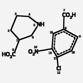 O=C(O)C1CCCNC1.O=C(O)c1ccc(Cl)c([N+](=O)[O-])c1